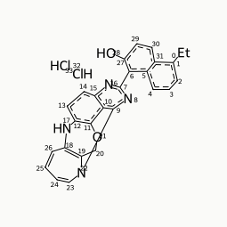 CCc1cccc2c(-c3nc4c5c6c(ccc5n3)NC3=C(CO6)N4C=CC=C3)c(O)ccc12.Cl.Cl